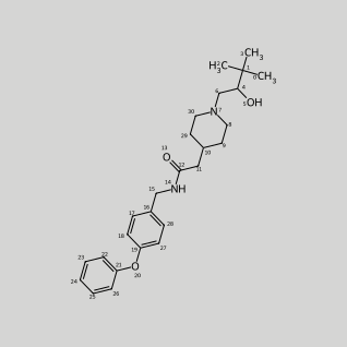 CC(C)(C)C(O)CN1CCC(CC(=O)NCc2ccc(Oc3ccccc3)cc2)CC1